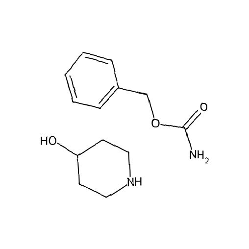 NC(=O)OCc1ccccc1.OC1CCNCC1